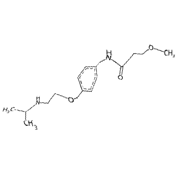 COCCC(=O)Nc1ccc(OCCNC(C)C)cc1